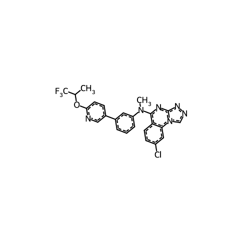 CC(Oc1ccc(-c2cccc(N(C)c3nc4nncn4c4cc(Cl)ccc34)c2)cn1)C(F)(F)F